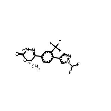 C[C@@H]1OC(=O)NN=C1c1ccc(-c2cnn(C(F)F)c2)c(C(F)(F)F)c1